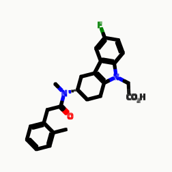 Cc1ccccc1CC(=O)N(C)[C@H]1CCc2c(c3cc(F)ccc3n2CC(=O)O)C1